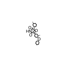 Cc1cccc(-n2c(=O)[nH]c(=O)n(-c3ccc(Oc4ccccc4)c(C)c3)c2=O)c1